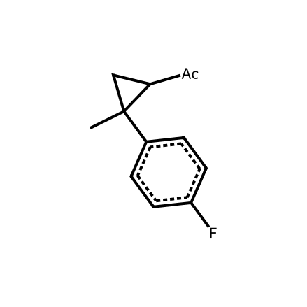 CC(=O)C1CC1(C)c1ccc(F)cc1